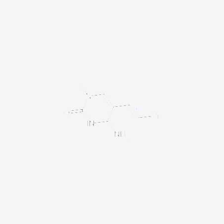 CN1C=C(/C=C/Br)C(N)NC1=O